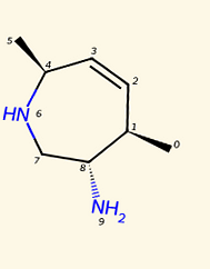 C[C@@H]1C=C[C@H](C)NC[C@H]1N